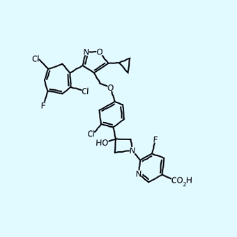 O=C(O)c1cnc(N2CC(O)(c3ccc(OCc4c(C5=C(Cl)C=C(F)C=C(Cl)C5)noc4C4CC4)cc3Cl)C2)c(F)c1